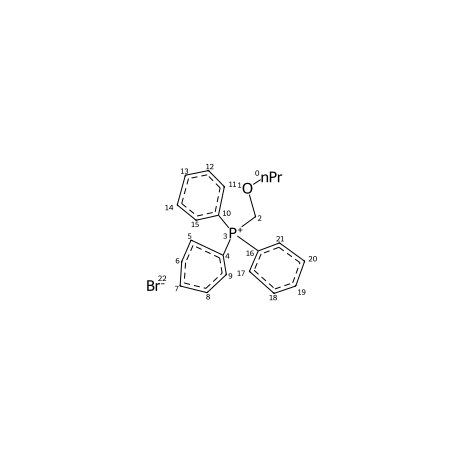 CCCOC[P+](c1ccccc1)(c1ccccc1)c1ccccc1.[Br-]